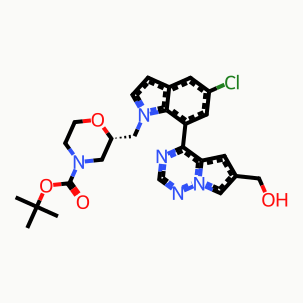 CC(C)(C)OC(=O)N1CCO[C@H](Cn2ccc3cc(Cl)cc(-c4ncnn5cc(CO)cc45)c32)C1